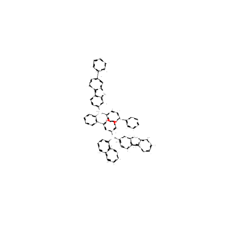 c1ccc(-c2ccc(N(c3ccc4c(c3)oc3cc(-c5ccccc5)ccc34)c3ccccc3-c3cccc(N(c4ccc5c(c4)oc4ccccc45)c4cccc5ccccc45)c3)cc2)cc1